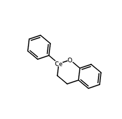 c1cc[c]([Ce]2[CH2]Cc3ccccc3[O]2)cc1